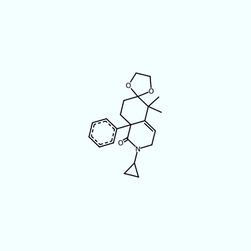 CC1(C)C2=CCN(C3CC3)C(=O)C2(c2ccccc2)CCC12OCCO2